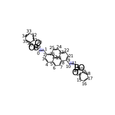 C(=C\c1ccc2ccc3c(/C=C/B4Oc5ccccc5O4)ccc4ccc1c2c43)/B1Oc2ccccc2O1